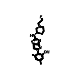 Cc1cc(C)c(-n2cc3sc(N[C@@H]4CCCN(CCF)C4)nc3n2)c(O)c1